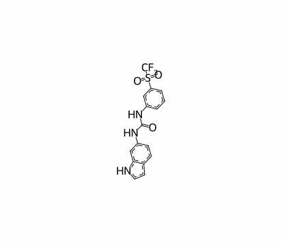 O=C(Nc1cccc(S(=O)(=O)C(F)(F)F)c1)Nc1ccc2cc[nH]c2c1